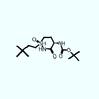 CC(C)(C)CC[SH]1(=O)CC[C@@H](NC(=O)OC(C)(C)C)C(=O)N1